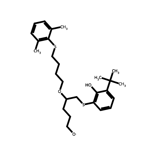 Cc1cccc(C)c1SCCCCOC(CCC[O])CSc1cccc(C(C)(C)C)c1O